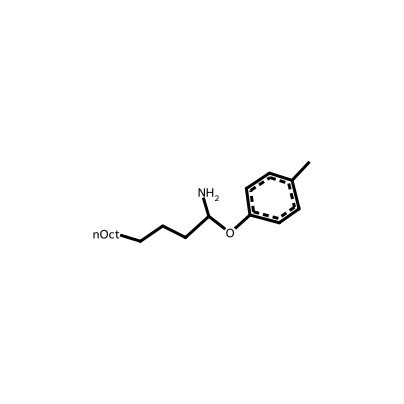 CCCCCCCCCCCC(N)Oc1ccc(C)cc1